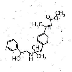 COC(=O)/C=C(\C)c1ccc(CC(C)(C)NCC(O)c2ccccc2)cc1